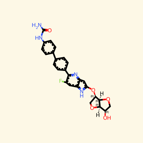 NC(=O)Nc1ccc(-c2ccc(-c3nc4cc(O[C@@H]5CO[C@H]6[C@@H]5OC[C@H]6O)[nH]c4cc3F)cc2)cc1